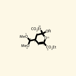 CCOC(=O)C1=CC(C(OC)OC)CC(O)(C(=O)OCC)O1